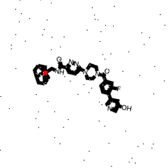 O=C(NCC12CC3CC(CC(C3)C1)C2)c1ccc(N2CCN(C(=O)c3ccc(-c4cncc(O)c4)c(F)c3)CC2)nn1